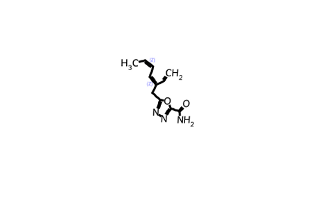 C=C/C(=C\C=C/C)Cc1nnc(C(N)=O)o1